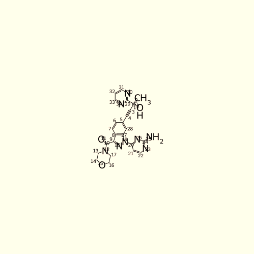 C[C@](O)(C#Cc1ccc2c(C(=O)N3CCOCC3)nn(-c3ccnc(N)n3)c2c1)c1ncccn1